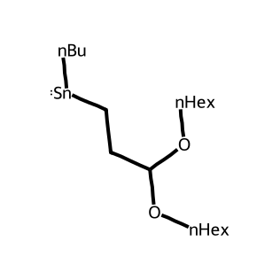 CCCCCCOC(C[CH2][Sn][CH2]CCC)OCCCCCC